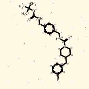 CC(C)(C)OC(=O)NCc1ccc(CNC(=O)N2CCC(Cc3cccc(F)c3)CC2)cc1